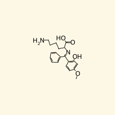 COc1ccc(/C(=N/C(CCCCN)C(=O)O)c2ccccc2)c(O)c1